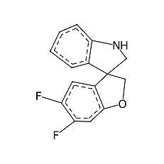 Fc1cc2c(cc1F)C1(CNc3ccccc31)CO2